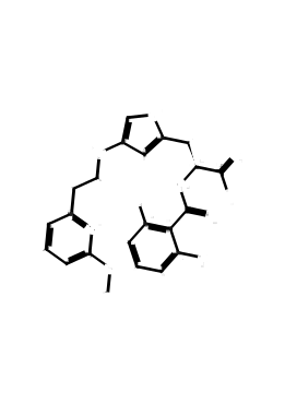 CNc1cccc(CCOc2csc(C[C@H](NC(=O)c3c(Cl)cccc3Cl)C(=O)O)c2)n1